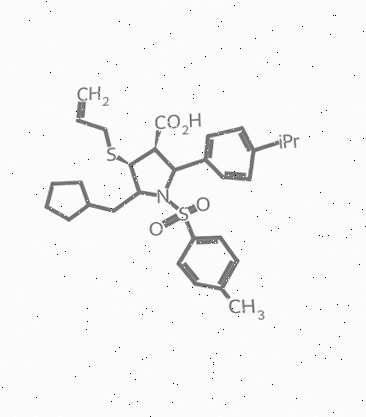 C=CCS[C@@H]1C(CC2CCCC2)N(S(=O)(=O)c2ccc(C)cc2)C(c2ccc(C(C)C)cc2)[C@@H]1C(=O)O